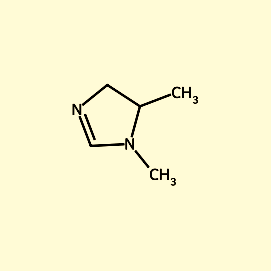 CC1CN=CN1C